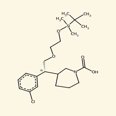 CC(C)(C)[Si](C)(C)OCCOC[C@@H](c1cccc(Cl)c1)C1CCCN(C(=O)O)C1